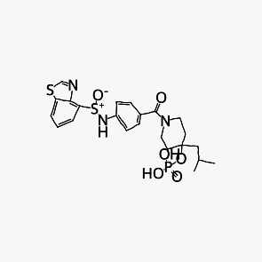 CC(C)CC1(OP(=O)(O)O)CCN(C(=O)c2ccc(N[S+]([O-])c3cccc4scnc34)cc2)CC1